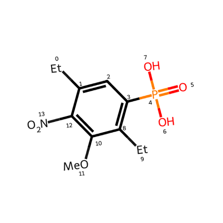 CCc1cc(P(=O)(O)O)c(CC)c(OC)c1[N+](=O)[O-]